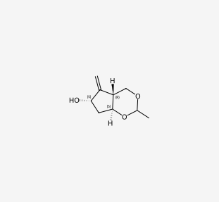 C=C1[C@@H](O)C[C@@H]2OC(C)OC[C@@H]12